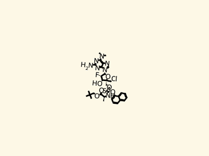 C[C@H](NP(=S)(OC[C@@]1(CCl)O[C@@H](n2cnc3c(N(C)C)nc(N)nc32)[C@@H](F)[C@@H]1O)Oc1cccc2ccccc12)C(=O)OCC(C)(C)C